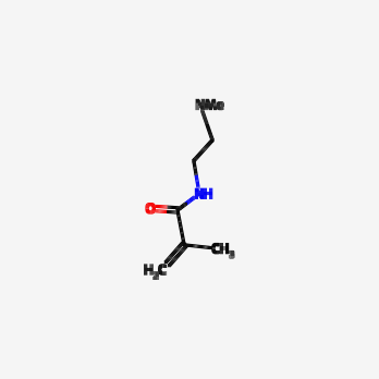 C=C(C)C(=O)NCCNC